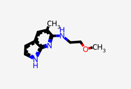 COCCNc1nc2[nH]ccc2cc1C